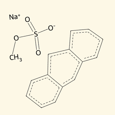 COS(=O)(=O)[O-].[Na+].c1ccc2cc3ccccc3cc2c1